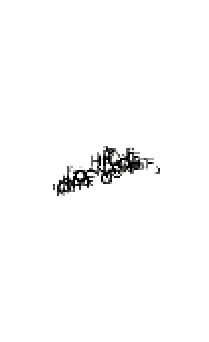 O=C(NCCc1cc(F)c(N2CC3CCC(C2)N3)cc1F)c1sc2nc(C(F)(F)C(F)(F)F)c(F)cc2c1NC1CC1